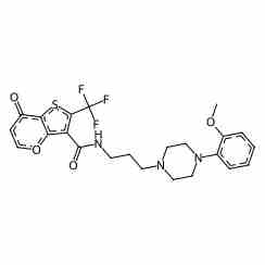 COc1ccccc1N1CCN(CCCNC(=O)c2c(C(F)(F)F)sc3c(=O)ccoc23)CC1